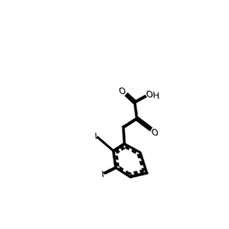 O=C(O)C(=O)Cc1cccc(I)c1I